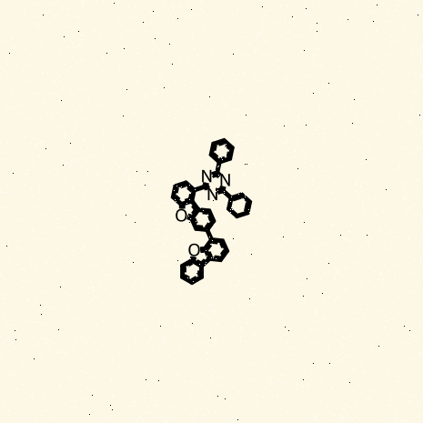 C1=CCCC(c2nc(-c3ccccc3)nc(-c3cccc4oc5cc(-c6cccc7c6oc6ccccc67)ccc5c34)n2)=C1